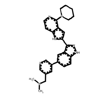 CN(C)Cc1cncc(-c2ccc3[nH]nc(-c4cc5c(N6CCCCC6)nccc5[nH]4)c3c2)c1